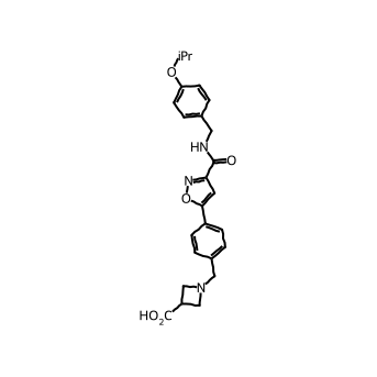 CC(C)Oc1ccc(CNC(=O)c2cc(-c3ccc(CN4CC(C(=O)O)C4)cc3)on2)cc1